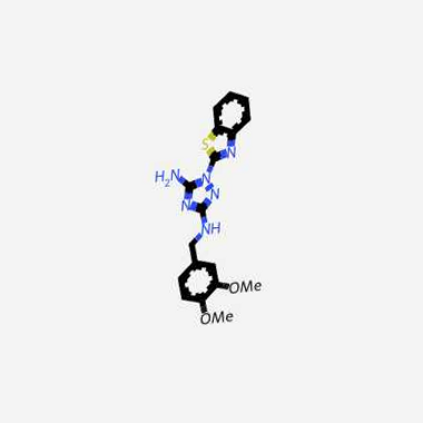 COc1ccc(CNc2nc(N)n(-c3nc4ccccc4s3)n2)cc1OC